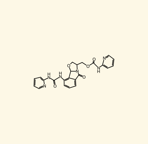 O=C(Nc1ccccn1)Nc1cccc2c1C1OCC(COC(=O)Nc3ccccn3)N1C2=O